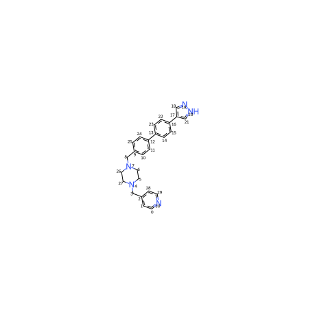 c1cc(CN2CCN(Cc3ccc(-c4ccc(-c5cn[nH]c5)cc4)cc3)CC2)ccn1